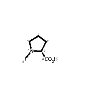 O=C(O)[C@@H]1CCCN1I